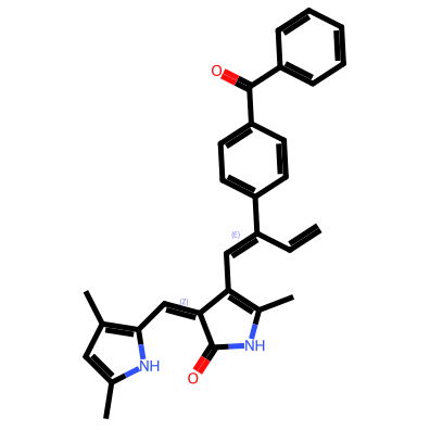 C=C/C(=C\C1=C(C)NC(=O)/C1=C\c1[nH]c(C)cc1C)c1ccc(C(=O)c2ccccc2)cc1